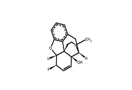 CN1CC[C@]23c4c5cccc4O[C@H]2[C@H](F)C=C[C@@]3(O)[C@H]1C5